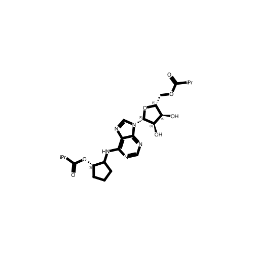 CC(C)C(=O)OC[C@H]1O[C@@H](n2cnc3c(NC4CCC[C@@H]4OC(=O)C(C)C)ncnc32)[C@H](O)[C@@H]1O